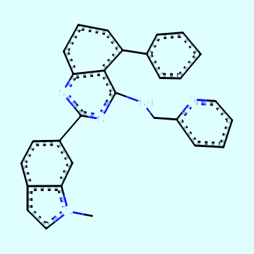 Cn1ccc2ccc(-c3nc(NCc4ccccn4)c4c(-c5ccccc5)cccc4n3)cc21